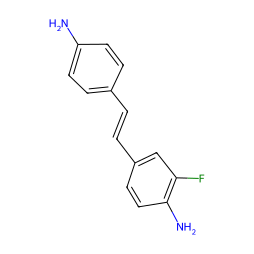 Nc1ccc(/C=C/c2ccc(N)c(F)c2)cc1